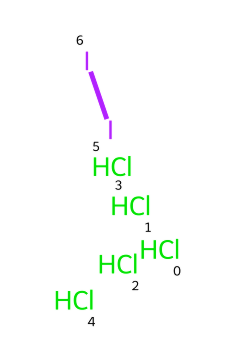 Cl.Cl.Cl.Cl.Cl.II